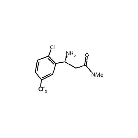 CNC(=O)C[C@H](N)c1cc(C(F)(F)F)ccc1Cl